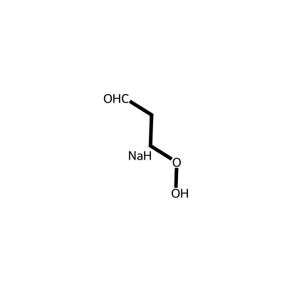 O=CCCOO.[NaH]